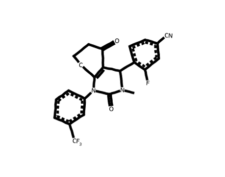 CN1C(=O)N(c2cccc(C(F)(F)F)c2)C2=C(C(=O)CCC2)C1c1ccc(C#N)cc1F